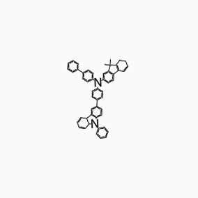 CC1(C)C2=C(C=CCC2)c2ccc(N(c3ccc(-c4ccccc4)cc3)c3ccc(-c4ccc5c(c4)C4C=CC=CC4N5c4ccccc4)cc3)cc21